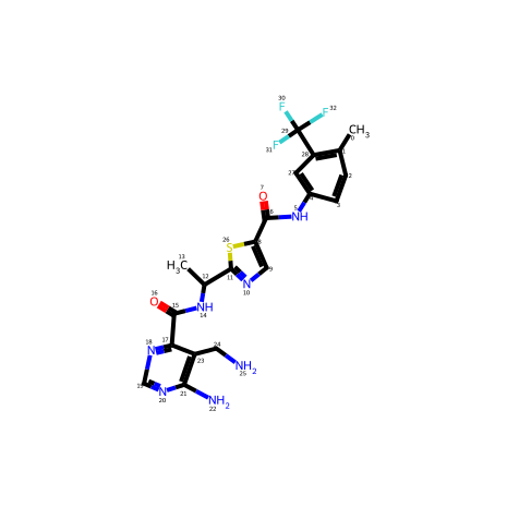 Cc1ccc(NC(=O)c2cnc(C(C)NC(=O)c3ncnc(N)c3CN)s2)cc1C(F)(F)F